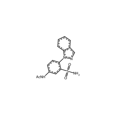 CC(=O)Nc1ccc(-n2ncc3ccccc32)c(S(N)(=O)=O)c1